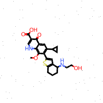 COc1c(-c2cc3c(s2)CCCC3NCCO)c(C2CC2)cc2c(=O)c(C(=O)O)c[nH]c12